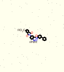 CCCCCNc1ccc(N2C(=O)c3ccc(C(=O)O)cc3C2=O)cc1-c1nc2cc(-c3ccccc3)ccc2o1